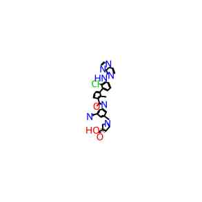 Cc1c(-c2nc3cc(CN4CC[C@@H](C(=O)O)C4)cc(C#N)c3o2)cccc1-c1cccc(Nc2nccc3nccnc23)c1Cl